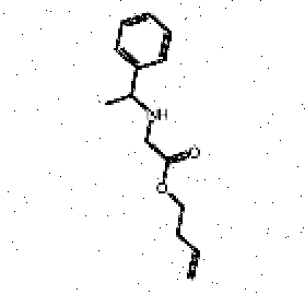 C=CCCOC(=O)CNC(C)c1ccccc1